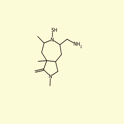 C=C1N(C)CC2CC(CN)N(S)C(C)CC12C